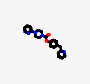 O=C(Oc1ccc(Cc2ccccn2)cc1)N1CCN(c2ccccn2)CC1